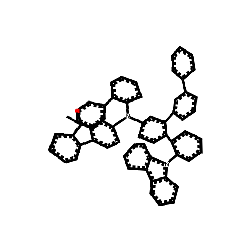 CC1(C)c2ccccc2-c2ccc(N(c3ccc(-c4ccccc4-n4c5ccccc5c5ccccc54)c(-c4cccc(-c5ccccc5)c4)c3)c3ccccc3-c3ccccc3)cc21